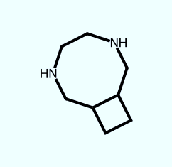 C1CNCC2CCC2CN1